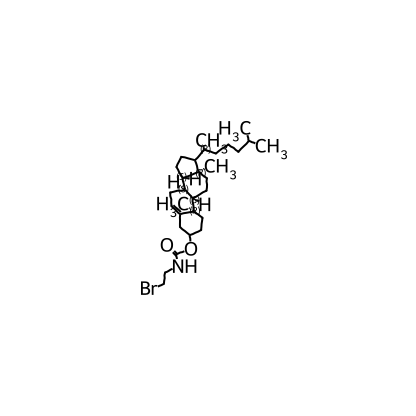 CC(C)CCC[C@@H](C)C1CC[C@H]2[C@@H]3CC=C4CC(OC(=O)NCCBr)CC[C@]4(C)[C@H]3CC[C@]12C